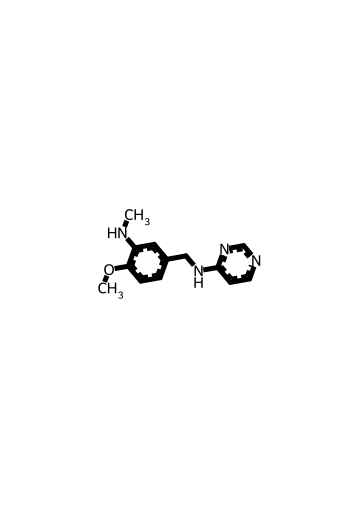 CNc1cc(CNc2ccncn2)ccc1OC